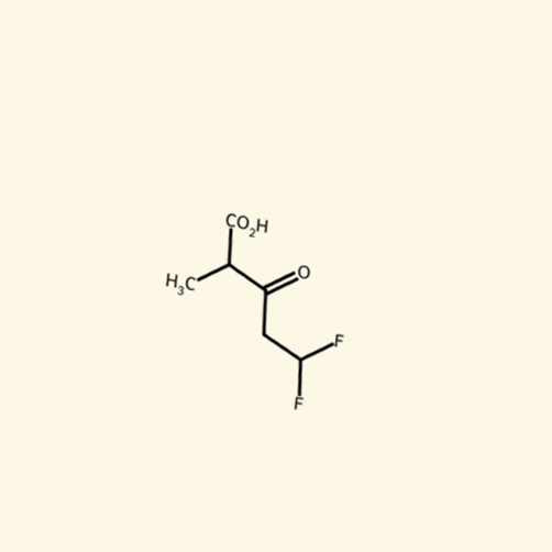 CC(C(=O)O)C(=O)CC(F)F